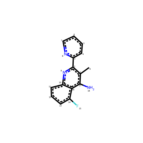 Cc1c(-c2ccccn2)nc2cccc(F)c2c1N